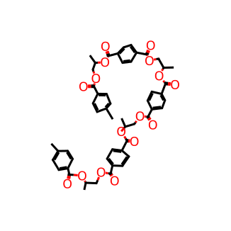 Cc1ccc(C(=O)OCC(C)OC(=O)c2ccc(C(=O)OCC(C)OC(=O)c3ccc(C(=O)OCC(C)OC(=O)c4ccc(C(=O)OCC(C)OC(=O)c5ccc(C)cc5)cc4)cc3)cc2)cc1